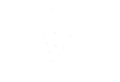 COCCNc1nc(N[C@@H](Cc2ccc(OC(=O)N(C)C)cc2)C(=O)O)nc(N(C)Cc2ccccn2)n1